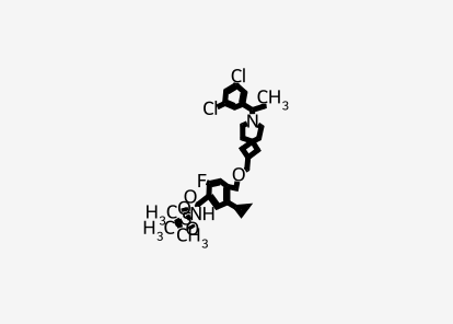 CCC(c1cc(Cl)cc(Cl)c1)N1CCC2(CC1)CC(COCc1cc(F)c(C(=O)NS(=O)(=O)C(C)(C)C)cc1C1CC1)C2